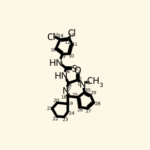 CN1C(=O)C(NC(=S)Nc2ccc(Cl)c(Cl)c2)N=C(C2CCCCC2)c2ccccc21